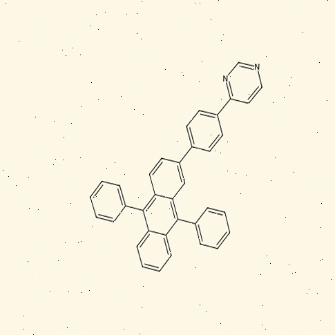 c1ccc(-c2c3ccccc3c(-c3ccccc3)c3cc(-c4ccc(-c5ccncn5)cc4)ccc23)cc1